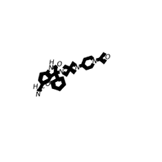 COc1ccccc1C1(N2CC3(CN(C4CCN(C5COC5)CC4)C3)C2)C(=O)Nc2ccc(C#N)cc21